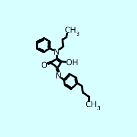 CCCCc1ccc(N=c2c(O)c(N(CCCC)c3ccccc3)c2=O)cc1